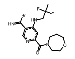 CC(F)(F)CNc1cc(C(=O)N2CCCOCC2)ncc1C(=N)Br